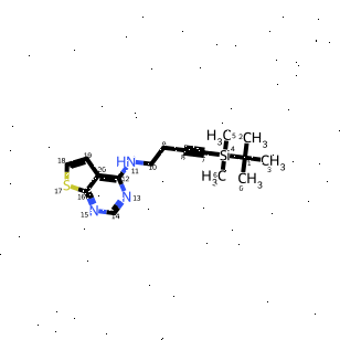 CC(C)(C)[Si](C)(C)C#CCCNc1ncnc2sccc12